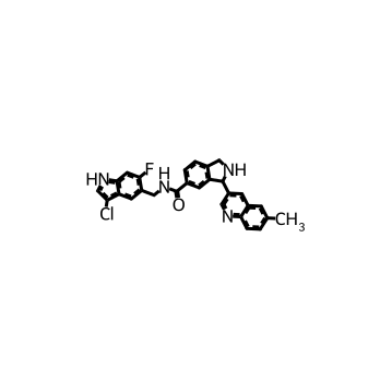 Cc1ccc2ncc(C3NCc4ccc(C(=O)NCc5cc6c(Cl)c[nH]c6cc5F)cc43)cc2c1